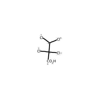 O=C(O)C(Cl)(Cl)C(Cl)Cl